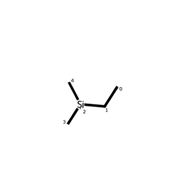 [CH2]C[Si](C)C